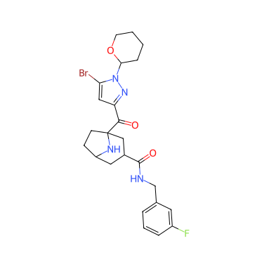 O=C(NCc1cccc(F)c1)C1CC2CCC(C(=O)c3cc(Br)n(C4CCCCO4)n3)(C1)N2